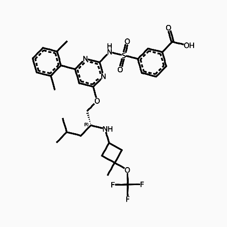 Cc1cccc(C)c1-c1cc(OC[C@@H](CC(C)C)NC2CC(C)(OC(F)(F)F)C2)nc(NS(=O)(=O)c2cccc(C(=O)O)c2)n1